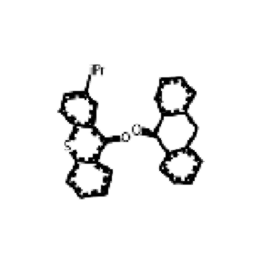 CC(C)c1ccc2sc3ccccc3c(=O)c2c1.O=C1c2ccccc2Cc2ccccc21